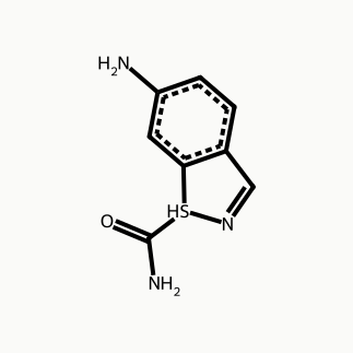 NC(=O)[SH]1N=Cc2ccc(N)cc21